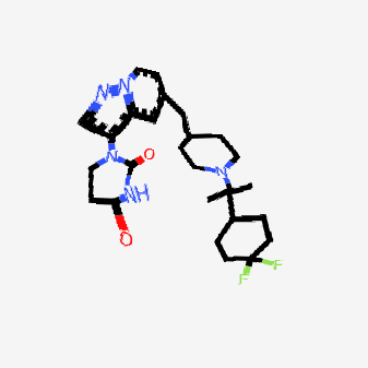 CC(C)(C1CCC(F)(F)CC1)N1CCC(Cc2ccn3ncc(N4CCC(=O)NC4=O)c3c2)CC1